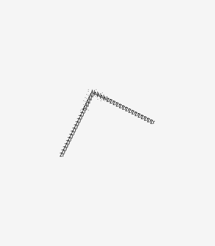 [Al].[Al].[Al].[Al].[Al].[Al].[Al].[Al].[Al].[Al].[Zr].[Zr].[Zr].[Zr].[Zr].[Zr].[Zr].[Zr].[Zr].[Zr].[Zr].[Zr].[Zr].[Zr].[Zr].[Zr].[Zr].[Zr].[Zr].[Zr].[Zr].[Zr].[Zr].[Zr].[Zr].[Zr].[Zr].[Zr].[Zr].[Zr]